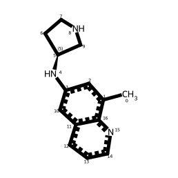 Cc1cc(N[C@H]2CCNC2)cc2cccnc12